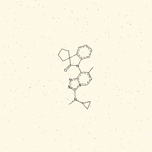 Cc1ccn2c(N(C)C3CC3)nnc2c1N1C(=O)C2(CCCC2)c2ccccc21